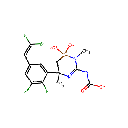 CN1C(NC(=O)O)=NC(C)(c2cc(C=C(F)Br)cc(F)c2F)CS1(O)O